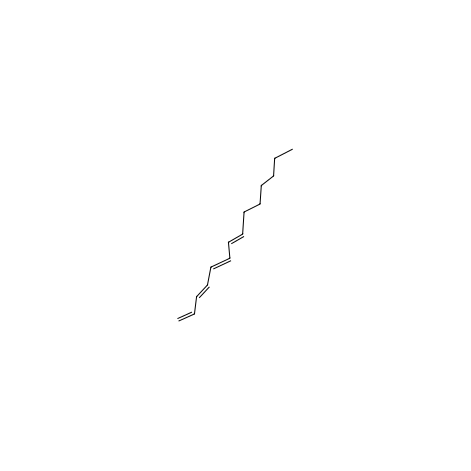 C=C/C=C/C=C/C=C/CCCCCC